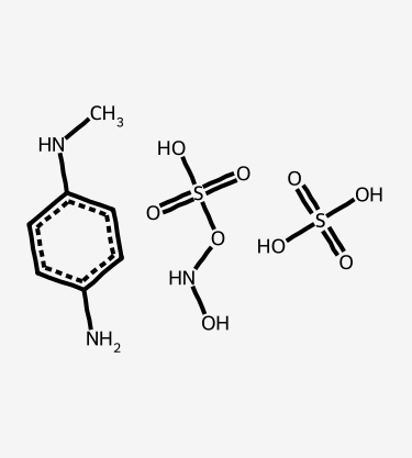 CNc1ccc(N)cc1.O=S(=O)(O)O.O=S(=O)(O)ONO